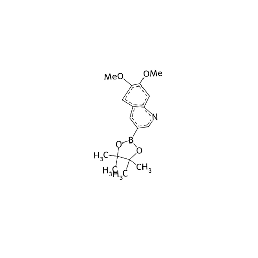 COc1cc2cc(B3OC(C)(C)C(C)(C)O3)cnc2cc1OC